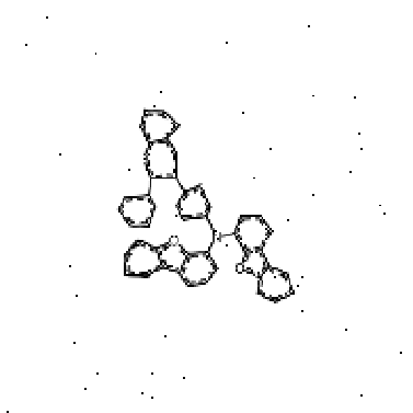 c1ccc(-c2cc3ccccc3cc2-c2ccc(N(c3cccc4c3oc3ccccc34)c3cccc4c3oc3ccccc34)cc2)cc1